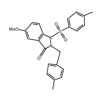 COc1ccc2c(c1)c(=O)n(Cc1ccc(F)cc1)n2S(=O)(=O)c1ccc(C)cc1